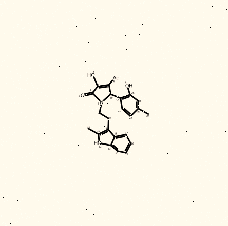 CC(=O)C1=C(O)C(=O)N(CCc2c(C)[nH]c3ccccc23)C1c1ccc(C)cc1O